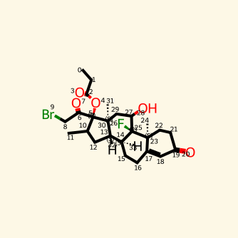 CCC(=O)O[C@]1(C(=O)CBr)C(C)C[C@H]2[C@@H]3CCC4=CC(=O)CC[C@]4(C)[C@@]3(F)C(O)C[C@@]21C